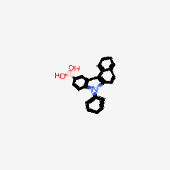 OB(O)C1=CC2c3c(ccc4ccccc34)N(c3ccccc3)C2C=C1